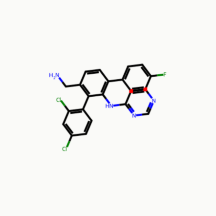 NCc1ccc(-c2ccc(F)cc2)c(Nc2ccncn2)c1-c1ccc(Cl)cc1Cl